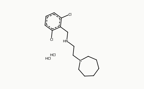 Cl.Cl.Clc1cccc(Cl)c1CNCCN1CCCCCC1